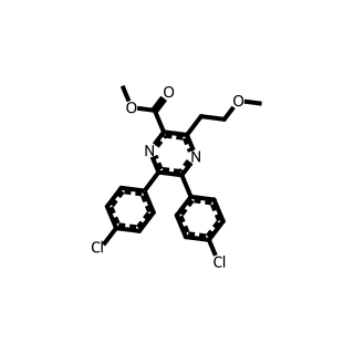 COCCc1nc(-c2ccc(Cl)cc2)c(-c2ccc(Cl)cc2)nc1C(=O)OC